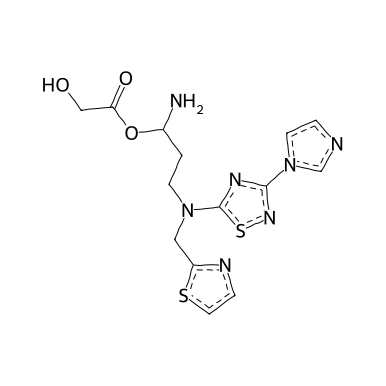 NC(CCN(Cc1nccs1)c1nc(-n2ccnc2)ns1)OC(=O)CO